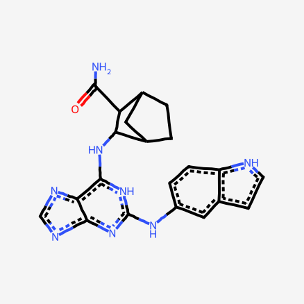 NC(=O)C1C2CCC(C2)C1Nc1[nH]c(Nc2ccc3[nH]ccc3c2)nc2ncnc1-2